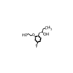 CCC(O)Cc1ccc(F)cc1OCCO